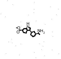 C=C(N)c1cccc(-c2c[nH]c3cc(C(=O)OC)ccc23)c1